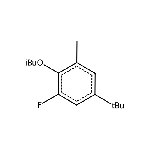 Cc1cc(C(C)(C)C)cc(F)c1OCC(C)C